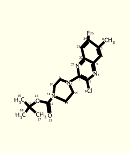 Cc1cc2nc(Cl)c(N3CCN(C(=O)OC(C)(C)C)CC3)nc2cc1F